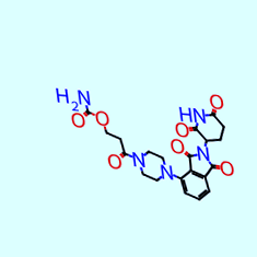 NC(=O)OCCC(=O)N1CCN(c2cccc3c2C(=O)N(C2CCC(=O)NC2=O)C3=O)CC1